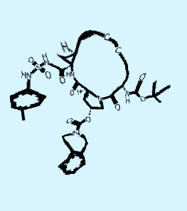 Cc1ccc(NS(=O)(=O)NC(=O)[C@@]23C[C@H]2/C=C\CCCCC[C@H](NC(=O)OC(C)(C)C)C(=O)N2C[C@H](OC(=O)N4Cc5ccccc5C4)C[C@H]2C(=O)N3)cc1